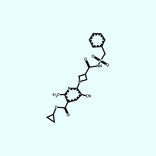 Cc1nc(N2CC(C(=O)NS(=O)(=O)Cc3ccccc3)C2)c(C#N)cc1C(=O)OC1CC1